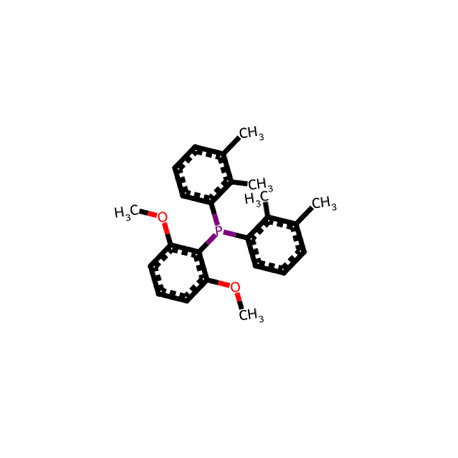 COc1cccc(OC)c1P(c1cccc(C)c1C)c1cccc(C)c1C